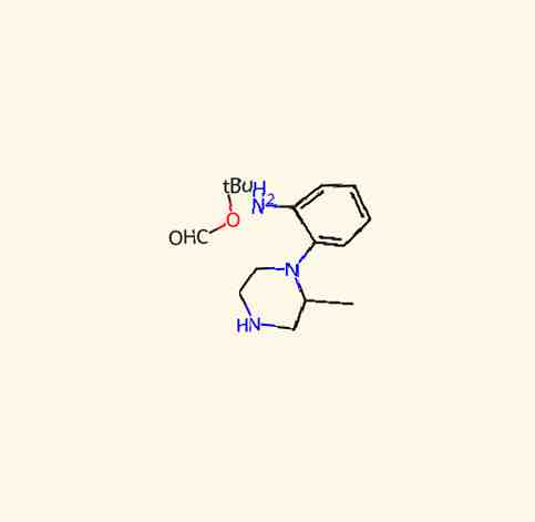 CC(C)(C)OC=O.CC1CNCCN1c1ccccc1N